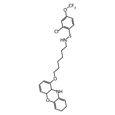 FC(F)(F)Oc1ccc(SNCCCCCCOC2=CC=CC3OC4=CCCC=C4NC23)c(Cl)c1